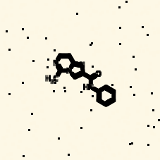 Cc1nccc2nc(C(=O)Nc3ccccc3)cn12